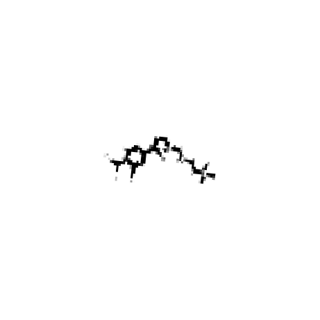 C[Si](C)(C)CCOCn1ccc(-c2ccc(C(F)F)c(F)c2)n1